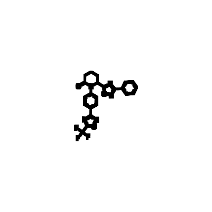 O=C1CCCC(c2nc(-c3ccccc3)no2)N1c1ccc(-c2noc(C(F)(F)F)n2)cc1